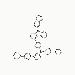 c1ccc(-c2ccc(-c3cccc(N(c4ccc(-c5ccccc5)cc4)c4ccc(-c5cccc6c5c5ccccc5n6-c5ccc6ccccc6c5)cc4)c3)cc2)cc1